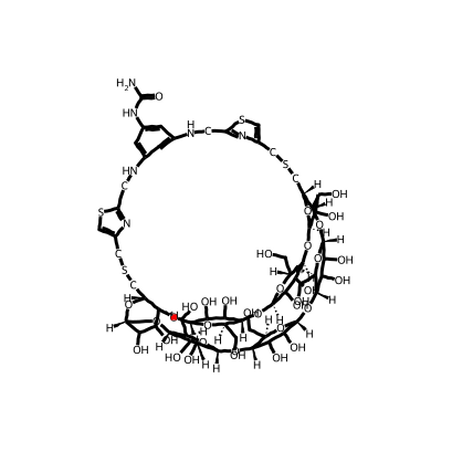 NC(=O)Nc1cc2cc(c1)NCc1nc(cs1)CSC[C@H]1O[C@@H]3O[C@H]4C(O)[C@@H](O)[C@H](O[C@@H]4CO)O[C@H]4C(O)C(O)[C@H](O[C@@H]4CO)O[C@H]4C(O)C(O)[C@H](O[C@@H]4CO)O[C@H]4C(O)C(O)[C@H](O[C@@H]4CSCc4csc(n4)CN2)O[C@H]2C(O)C(O)[C@H](O[C@@H]2CO)O[C@H]2C(O)C(O)[C@H](O[C@@H]2CO)O[C@H]1C(O)C3O